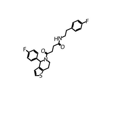 O=C(CCC(=O)N1CCc2sccc2C1c1ccc(F)cc1)NCCc1ccc(F)cc1